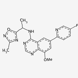 COc1cc(-c2ccc(F)cn2)cc2c(NC(C)c3nc(C)no3)ncnc12